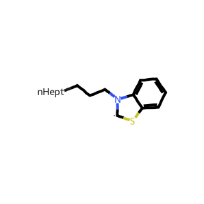 CCCCCCCCCCN1[CH]Sc2ccccc21